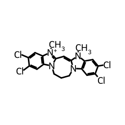 CN1/C2=C/c3n(c4cc(Cl)c(Cl)cc4[n+]3C)CCCN2c2cc(Cl)c(Cl)cc21